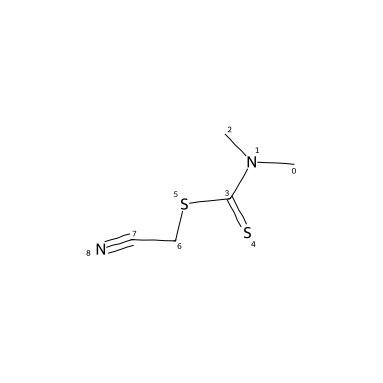 CN(C)C(=S)SCC#N